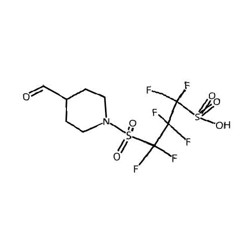 O=CC1CCN(S(=O)(=O)C(F)(F)C(F)(F)C(F)(F)S(=O)(=O)O)CC1